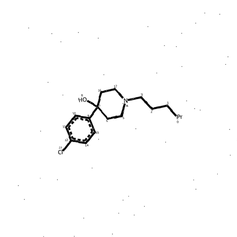 CC(C)CCCN1CCC(O)(c2ccc(Cl)cc2)CC1